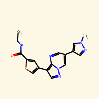 Cn1cc(-c2cnc3c(-c4csc(C(=O)NCC(F)(F)F)c4)cnn3c2)cn1